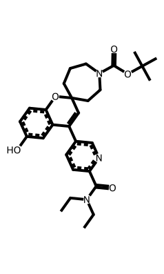 CCN(CC)C(=O)c1ccc(C2=CC3(CCCN(C(=O)OC(C)(C)C)CC3)Oc3ccc(O)cc32)cn1